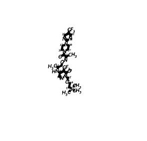 CC(=NOCC(C)Nc1cnn(COCC[Si](C)(C)C)c(=O)c1C(F)(F)F)C(=O)N1CCN(c2ncc(C(F)(F)F)cn2)CC1